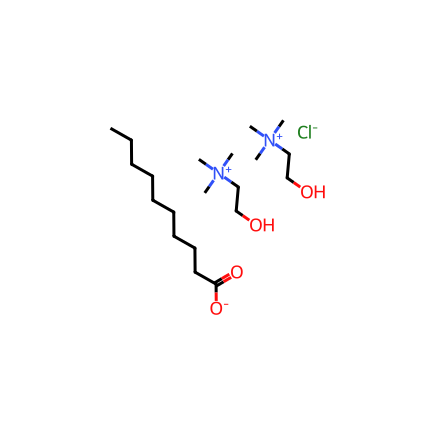 CCCCCCCCCC(=O)[O-].C[N+](C)(C)CCO.C[N+](C)(C)CCO.[Cl-]